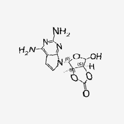 C[C@@]12OC(=O)O[C@@H]1C(O)O[C@H]2n1ccc2c(N)nc(N)nc21